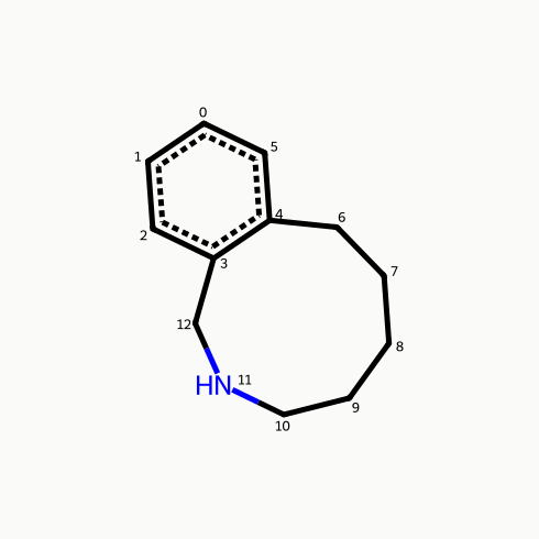 c1ccc2c(c1)CCCCCNC2